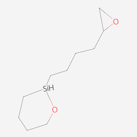 C1CC[SiH](CCCCC2CO2)OC1